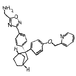 NCc1nc(-c2ccc([C@]3(c4ccc(OCc5ccccn5)cc4)C[C@@H]4CC[C@H]3C4)cc2)no1